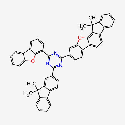 CC1(C)c2ccccc2-c2ccc(-c3nc(-c4ccc5c(c4)oc4c6c(ccc45)-c4ccccc4C6(C)C)nc(-c4cccc5c4oc4ccccc45)n3)cc21